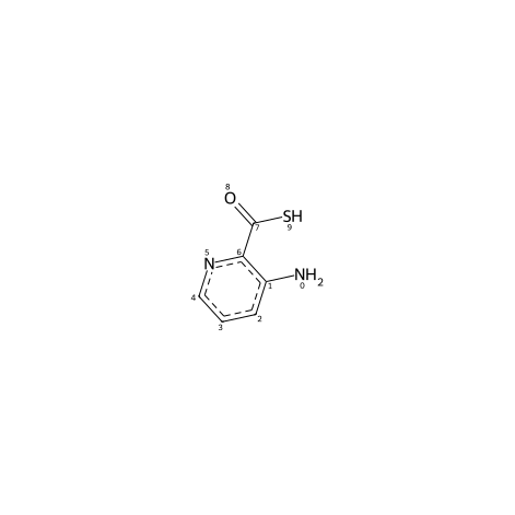 Nc1cccnc1C(=O)S